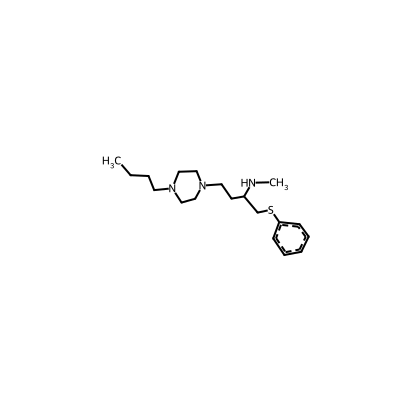 CCCCN1CCN(CCC(CSc2ccccc2)NC)CC1